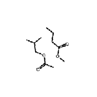 CC(=O)OCC(C)C.CCCC(=O)OC